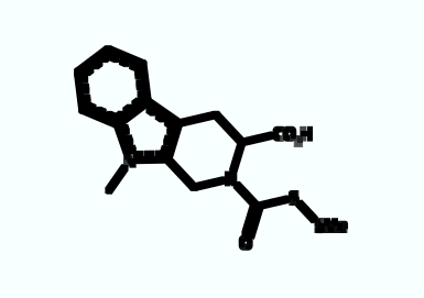 CSSC(=O)N1Cc2c(c3ccccc3n2C)CC1C(=O)O